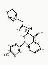 O=C(CC1CC2CCC1C2)Nn1nc(-c2ccc(Cl)cc2)c2ccccc2c1=O